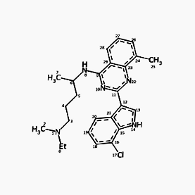 CCN(C)CCCC(C)Nc1nc(-c2c[nH]c3c(Cl)cccc23)nc2c(C)cccc12